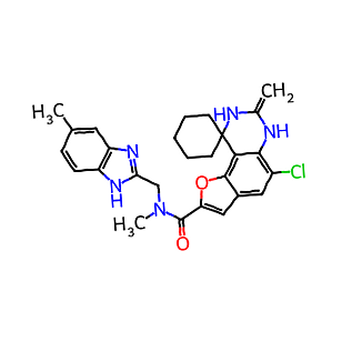 C=C1Nc2c(Cl)cc3cc(C(=O)N(C)Cc4nc5cc(C)ccc5[nH]4)oc3c2C2(CCCCC2)N1